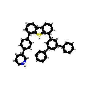 c1ccc(-c2cc(-c3ccccc3)cc(-c3cccc4c3sc3c(-c5ccc(-c6cccnc6)cc5)cccc34)c2)cc1